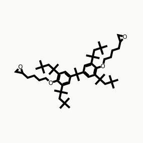 CC(C)(C)CC(C)(C)c1cc(C(C)(C)c2cc(C(C)(C)CC(C)(C)C)c(OCCCCC3CO3)c(C(C)(C)CC(C)(C)C)c2)cc(C(C)(C)CC(C)(C)C)c1OCCCCC1CO1